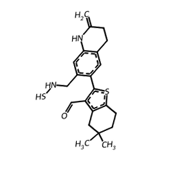 C=C1CCc2cc(-c3sc4c(c3C=O)CC(C)(C)CC4)c(CNS)cc2N1